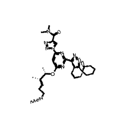 CNCCC[C@H](C)[C@H](C)Oc1cc(-n2cc(C(=O)N(C)C)nn2)nc(-c2noc3c2CCC[C@@]32CCCCC2=O)n1